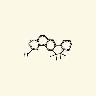 CC1(C)c2ccccc2-c2cc3ccc4ccc(Cl)cc4c3cc2C1(C)C